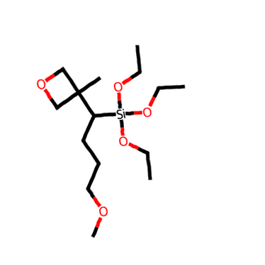 CCO[Si](OCC)(OCC)C(CCCOC)C1(C)COC1